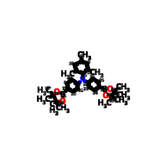 Cc1cc(C)c(N(c2ccc(B3OC(C)(C)C(C)(C)O3)cc2)c2ccc(B3OC(C)(C)C(C)(C)O3)cc2)c(C)c1